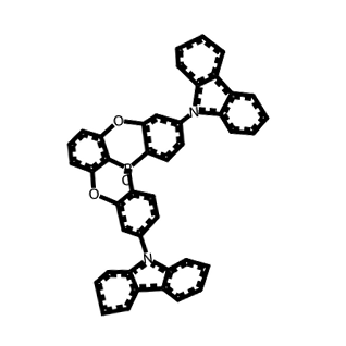 O=P12c3ccc(-n4c5ccccc5c5ccccc54)cc3Oc3cccc(c31)Oc1cc(-n3c4ccccc4c4ccccc43)ccc12